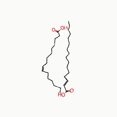 CCCCCC/C=C\CCCCCCCC(=O)O.CCCCCCCCCCCCCC=CC(=O)O